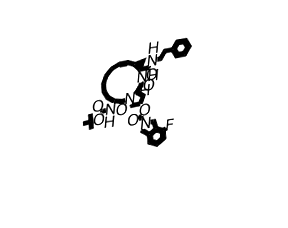 CC(C)(C)OC(=O)NC1CCCCC/C=C\C2CC2(C(=O)NCCc2ccccc2)NC(=O)[C@@H]2CC(OC(=O)N3Cc4cccc(F)c4C3)CN2C1=O